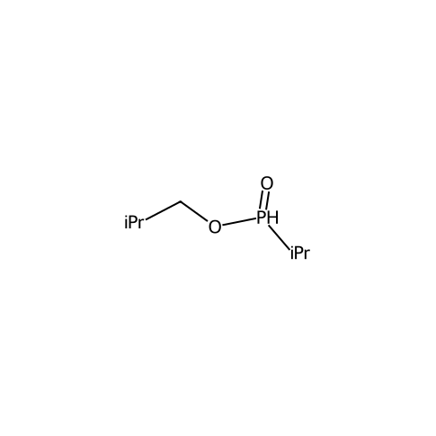 CC(C)CO[PH](=O)C(C)C